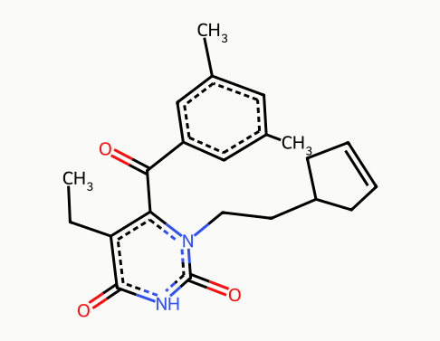 CCc1c(C(=O)c2cc(C)cc(C)c2)n(CCC2CC=CC2)c(=O)[nH]c1=O